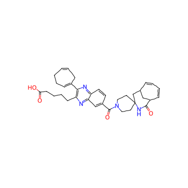 O=C(O)CCCCc1nc2cc(C(=O)N3CCC4(CC3)CC3C=CC=CC(C3)C(=O)N4)ccc2nc1C1=CCCC=CC1